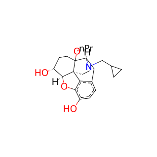 CCCOC12CC[C@@H](O)[C@@H]3Oc4c(O)ccc5c4[C@@]31CCN(CC1CC1)[C@@H]2C5